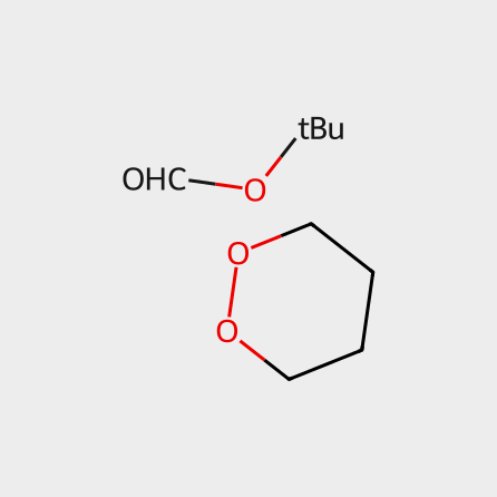 C1CCOOC1.CC(C)(C)OC=O